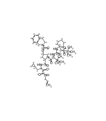 C=CCNC(=O)C(=O)C(CC1CC1)NC(=O)C1C[C@@H](OC(=O)N2CCc3ccccc3C2)CN1C(=O)[C@@H](NC(=O)NC1(CS(=O)(=O)C(C)(C)C)CCCCC1)C(C)(C)C